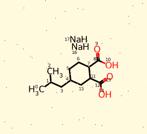 CC(C)CC1CCC(C(=O)O)C(C(=O)O)C1.[NaH].[NaH]